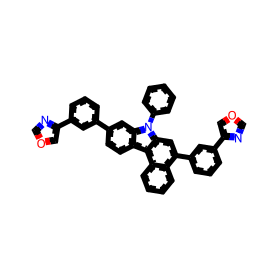 c1ccc(-n2c3cc(-c4cccc(-c5cocn5)c4)ccc3c3c4ccccc4c(-c4cccc(-c5cocn5)c4)cc32)cc1